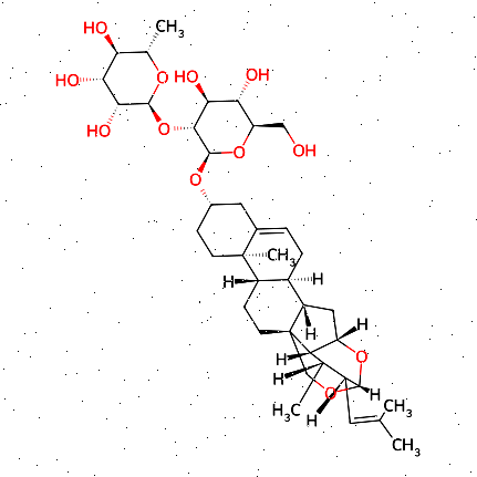 CC(C)=C[C@H]1[C@H]2OC[C@]34CC[C@H]5[C@@H](CC=C6C[C@@H](O[C@@H]7O[C@H](CO)[C@@H](O)[C@H](O)[C@H]7O[C@@H]7O[C@@H](C)[C@H](O)[C@@H](O)[C@H]7O)CC[C@@]65C)[C@@H]3C[C@H](O2)[C@@H]4[C@H]1C